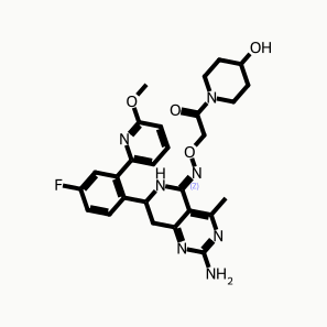 COc1cccc(-c2cc(F)ccc2C2Cc3nc(N)nc(C)c3/C(=N/OCC(=O)N3CCC(O)CC3)N2)n1